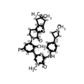 [CH2]c1c(-c2cn(C)c(=O)c(Nc3ccc(C4CN(C)C4)cc3)n2)cc(F)cc1N1CCc2c(sc3c2CC(C)(C)C3)C1=O